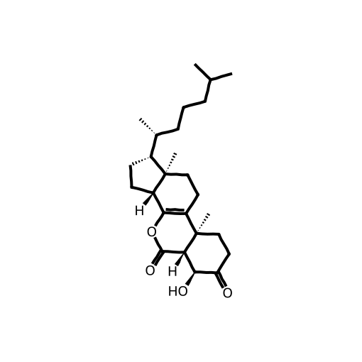 CC(C)CCC[C@@H](C)[C@H]1CC[C@H]2C3=C(CC[C@]12C)[C@@]1(C)CCC(=O)[C@@H](O)[C@@H]1C(=O)O3